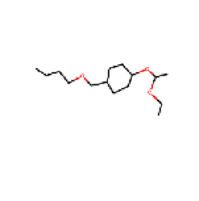 CCCCOCC1CCC(OC(C)OCC)CC1